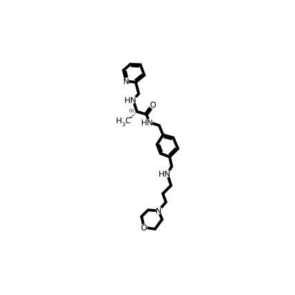 C[C@H](NCc1ccccn1)C(=O)NCc1ccc(CNCCCN2CCOCC2)cc1